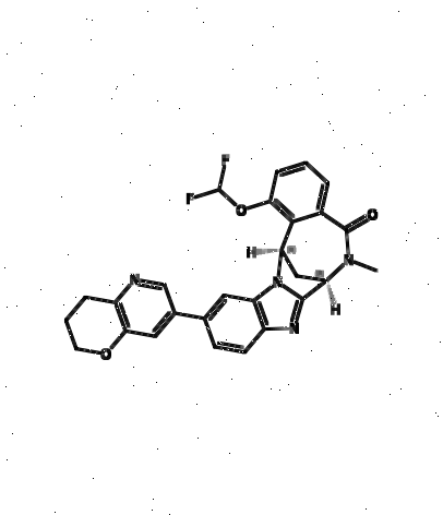 CN1C(=O)c2cccc(OC(F)F)c2[C@H]2C[C@@H]1c1nc3ccc(-c4cnc5c(c4)OCCC5)cc3n12